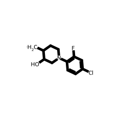 [CH2]C1CCN(c2ccc(Cl)cc2F)CC1O